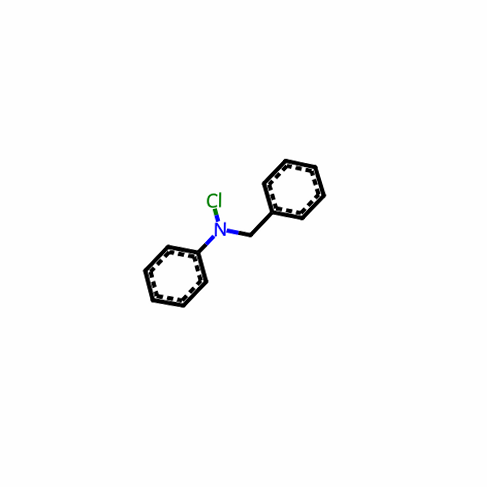 ClN(Cc1ccccc1)c1ccccc1